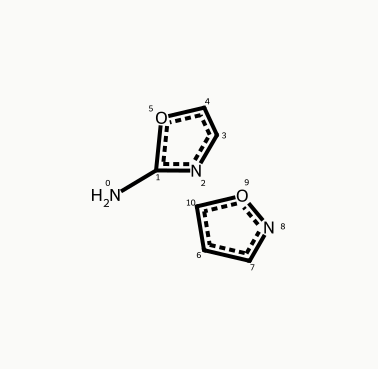 Nc1ncco1.c1cnoc1